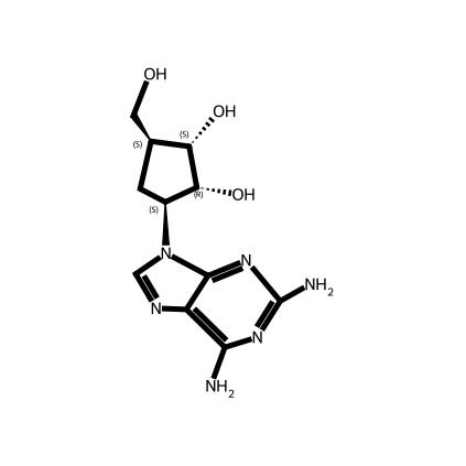 Nc1nc(N)c2ncn([C@H]3C[C@@H](CO)[C@H](O)[C@@H]3O)c2n1